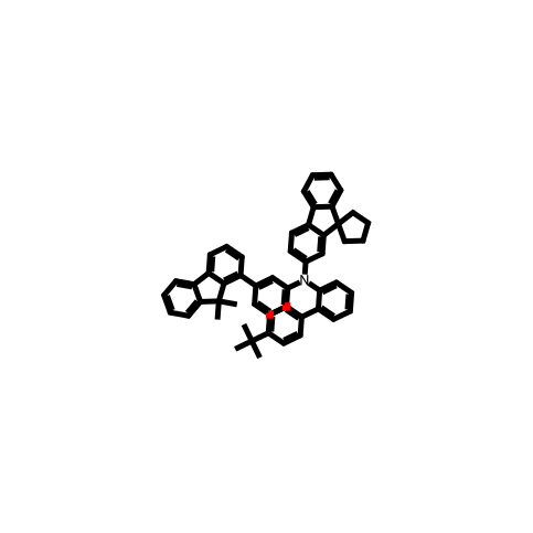 CC(C)(C)c1ccc(-c2ccccc2N(c2cccc(-c3cccc4c3C(C)(C)c3ccccc3-4)c2)c2ccc3c(c2)C2(CCCC2)c2ccccc2-3)cc1